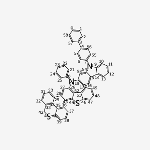 c1ccc(-c2ccc(-n3c4ccccc4c4ccc(N(c5ccccc5)c5cc(-c6cccc7c6-c6ccccc6SC7)cc6sc7ccccc7c56)cc43)cc2)cc1